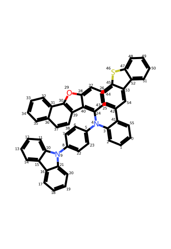 c1ccc(N(c2ccc(-n3c4ccccc4c4ccccc43)cc2)c2cccc3oc4c5ccccc5ccc4c23)c(-c2ccc3sc4ccccc4c3c2)c1